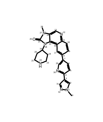 Cn1cc(-c2ccc(-c3ccc4ncc5c(c4c3)n(C3CCNCC3)c(=O)n5C)cn2)cn1